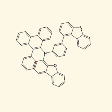 c1ccc(-c2c(N(c3cccc(-c4cccc5sc6ccccc6c45)c3)c3cccc4c3oc3ccccc34)c3ccccc3c3ccccc23)cc1